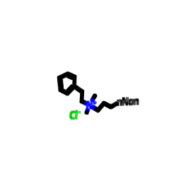 CCCCCCCCCCCC[N+](C)(C)CCc1ccccc1.[Cl-]